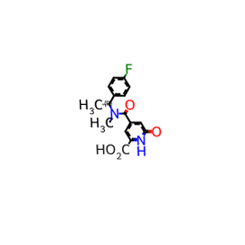 C[C@H](c1ccc(F)cc1)N(C)C(=O)c1cc(C(=O)O)[nH]c(=O)c1